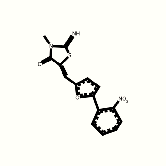 CN1C(=N)S/C(=C\c2ccc(-c3ccccc3[N+](=O)[O-])o2)C1=O